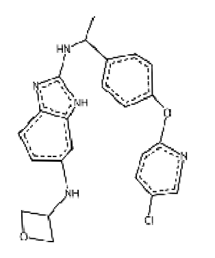 CC(Nc1nc2ccc(NC3COC3)cc2[nH]1)c1ccc(Oc2ccc(Cl)cn2)cc1